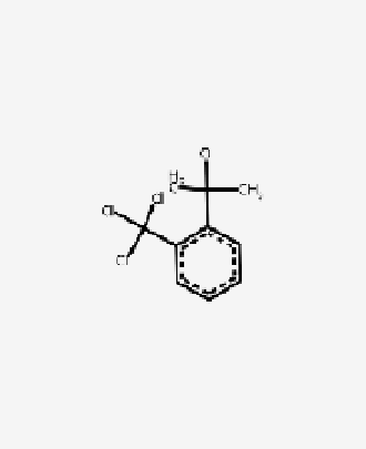 CC(C)([O])c1ccccc1C(Cl)(Cl)Cl